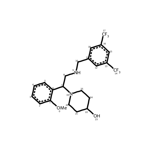 COc1ccccc1C(CNCc1cc(C(F)(F)F)cc(C(F)(F)F)c1)N1CCC(O)CC1